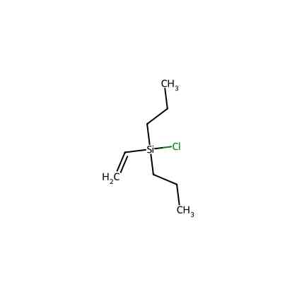 C=C[Si](Cl)(CCC)CCC